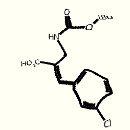 CC(C)(C)OC(=O)NCC(=Cc1cccc(Cl)c1)C(=O)O